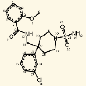 COc1ccccc1C(=O)NCC1(c2cccc(Cl)c2)CCN(S(N)(=O)=O)CC1